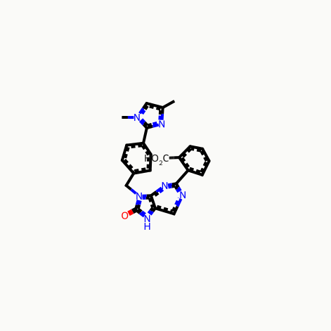 Cc1cn(C)c(-c2ccc(Cn3c(=O)[nH]c4cnc(-c5ccccc5C(=O)O)nc43)cc2)n1